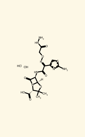 CC1(C)S[C@@H]2[C@H](NC(=O)C(=NOCC(=O)NN)c3csc(N)n3)C(=O)N2[C@H]1C(=O)O.Cl.Cl